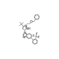 CC(C)(C)C1=CC(n2cnc3cc(-c4ccccc4C(F)(F)F)ccc32)NN1CCOCc1ccccc1